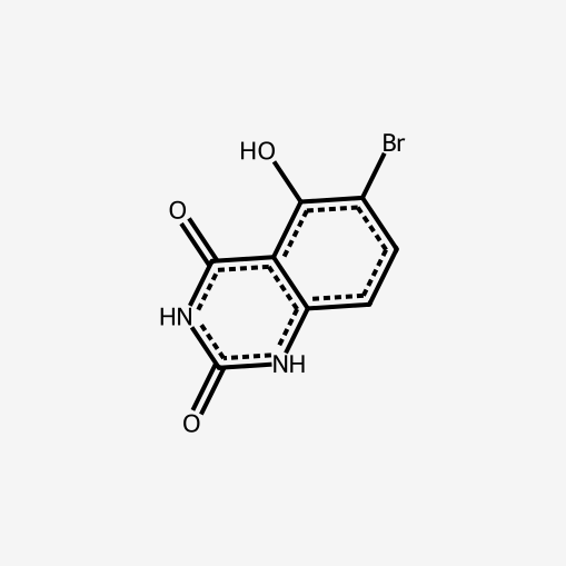 O=c1[nH]c(=O)c2c(O)c(Br)ccc2[nH]1